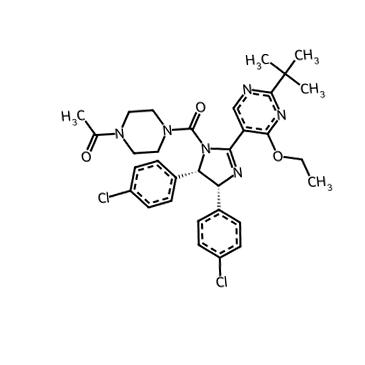 CCOc1nc(C(C)(C)C)ncc1C1=N[C@H](c2ccc(Cl)cc2)[C@H](c2ccc(Cl)cc2)N1C(=O)N1CCN(C(C)=O)CC1